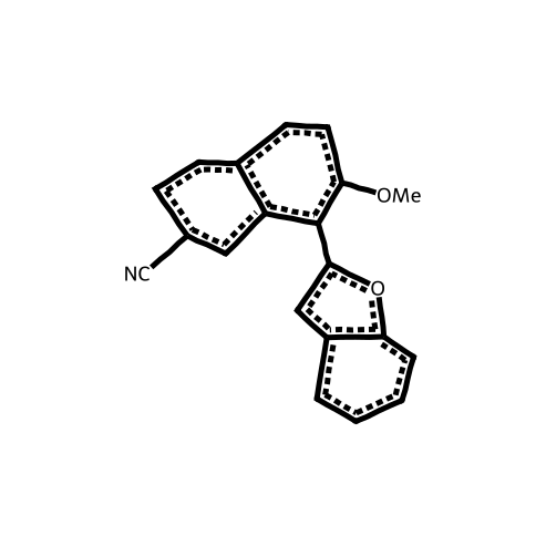 COc1ccc2ccc(C#N)cc2c1-c1cc2ccccc2o1